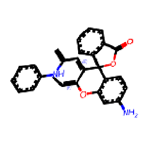 C=C(/C=C1\C(=C/C)Oc2cc(N)ccc2C12OC(=O)c1ccccc12)Nc1ccccc1